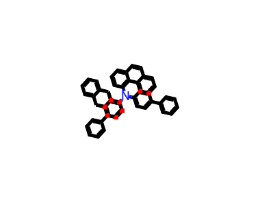 c1ccc(-c2ccc(N(c3ccc(-c4ccccc4)c4c3C3c5ccccc5C4c4ccccc43)c3cccc4ccc5ccccc5c34)cc2)cc1